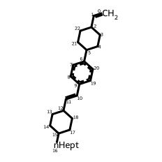 C=CC1CCC(c2ccc(/C=C/C3CCC(CCCCCCC)CC3)cc2)CC1